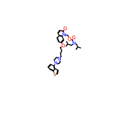 CC(C)CN(CC(C)C)C(=O)OCn1c(=O)ccc2ccc(OCCCCN3CCN(c4cccc5sccc45)CC3)cc21